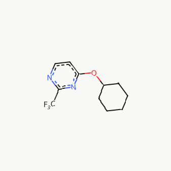 FC(F)(F)c1nccc(OC2CCCCC2)n1